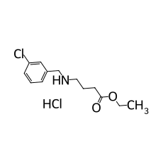 CCOC(=O)CCCNCc1cccc(Cl)c1.Cl